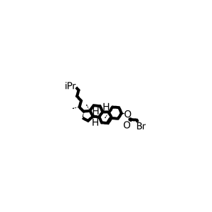 CC(C)CCC[C@@H](C)[C@H]1CC[C@H]2[C@@H]3CC=C4C[C@@H](OC(=O)CBr)CC[C@]4(C)[C@H]3CC[C@]12C